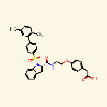 Cc1ccc(C)c(-c2ccc(S(=O)(=O)N3c4ccccc4C[C@H]3C(=O)NCCOc3ccc(CC(=O)O)cc3)cc2)c1